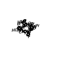 CC(C)C[C@H]1C(=O)N2CCC[C@H]2[C@]2(O)O[C@](NC(=O)[C@@H]3C=C4c5cccc6[nH]c(Br)c(c56)C[C@H]4N(C)C3)(C(C)C)C(=O)N12.Cc1nc2n(c(=O)c1CCN1CCC(c3noc4cc(F)ccc34)CC1)CCC[C@H]2O